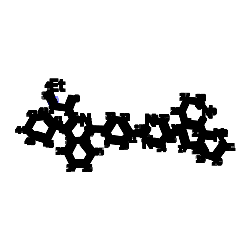 C=C(/C=C\CC)c1nc(-c2ccc(-c3ncc(-c4cc5cccnc5c5c4CCC=N5)cn3)cc2)c2ccccc2c1C1=CCCC=C1